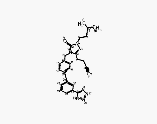 C#CCCc1nn(CCC(C)C)c(=O)n1Cc1ccc(-c2cccc(-c3nnn[nH]3)c2)cc1